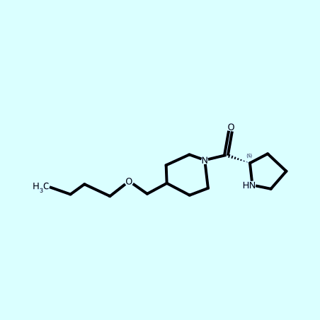 CCCCOCC1CCN(C(=O)[C@@H]2CCCN2)CC1